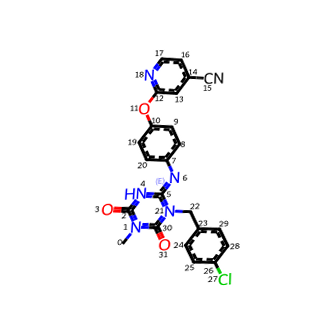 Cn1c(=O)[nH]/c(=N\c2ccc(Oc3cc(C#N)ccn3)cc2)n(Cc2ccc(Cl)cc2)c1=O